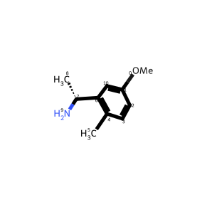 COc1ccc(C)c([C@@H](C)N)c1